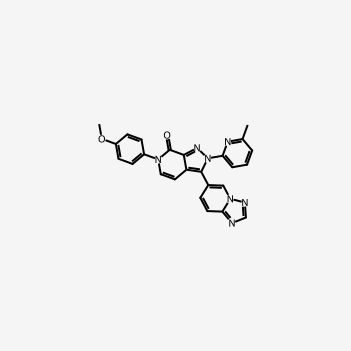 COc1ccc(-n2ccc3c(-c4ccc5ncnn5c4)n(-c4cccc(C)n4)nc3c2=O)cc1